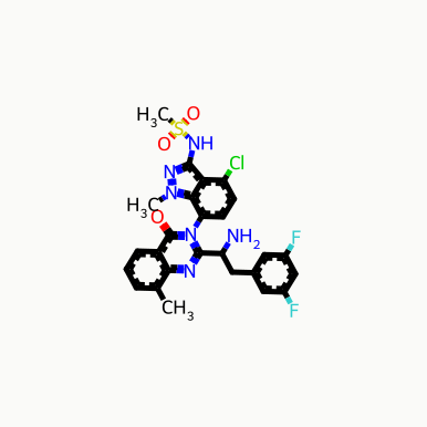 Cc1cccc2c(=O)n(-c3ccc(Cl)c4c(NS(C)(=O)=O)nn(C)c34)c(C(N)Cc3cc(F)cc(F)c3)nc12